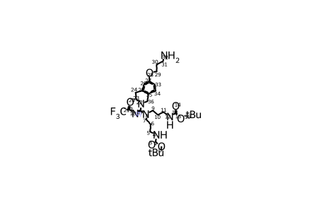 CC(C)(C)OC(=O)NCCCN(CCCNC(=O)OC(C)(C)C)/C(=N/C(=O)C(F)(F)F)N1CCc2cc(OCCCN)ccc2C1